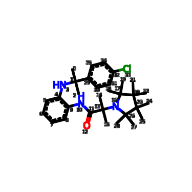 CC(C)(Nc1ccccc1NC(=O)C(C)(C)N1C(C)(C)C(C)(C)C(C)(C)C1(C)C)c1ccc(Cl)cc1